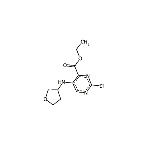 CCOC(=O)c1nc(Cl)ncc1NC1CCOC1